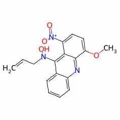 C=CCN(O)c1c2ccccc2nc2c(OC)ccc([N+](=O)[O-])c12